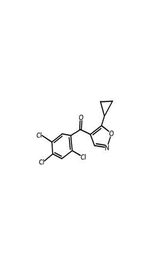 O=C(c1cc(Cl)c(Cl)cc1Cl)c1cnoc1C1CC1